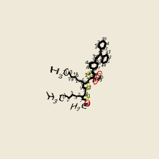 CCCCCCc1cc(OC)sc1-c1cc(CCCCCC)c(-c2sc(-c3ccc(C=C(c4ccccc4)c4ccccc4)cc3)c3c2OCCO3)s1